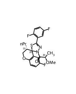 CCC[C@H]1COc2ccc(F)cc2[C@]12SC(c1cc(F)ccc1F)=NN2C(=O)[C@@H](C)OC